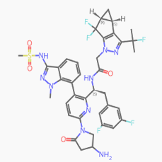 Cn1nc(NS(C)(=O)=O)c2cccc(-c3ccc(N4CC(N)CC4=O)nc3[C@H](Cc3cc(F)cc(F)c3)NC(=O)Cn3nc(C(C)(C)F)c4c3C(F)(F)[C@@H]3C[C@H]43)c21